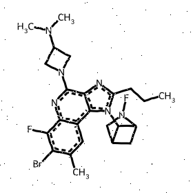 CCCc1nc2c(N3CC(N(C)C)C3)nc3c(F)c(Br)c(C)cc3c2n1C1C2CC1N(F)C2